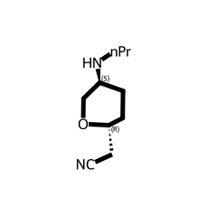 CCCN[C@H]1CC[C@H](CC#N)OC1